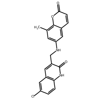 Cc1cc(NCc2cc3cc(Cl)ccc3[nH]c2=O)cc2ccc(=O)oc12